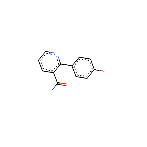 NC(=O)c1cccnc1-c1ccc(Br)cc1